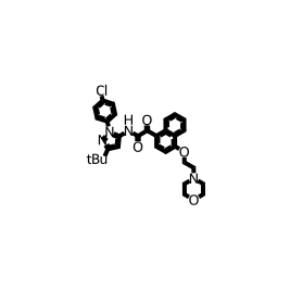 CC(C)(C)c1cc(NC(=O)C(=O)c2ccc(OCCN3CCOCC3)c3ccccc23)n(-c2ccc(Cl)cc2)n1